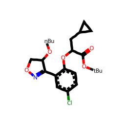 CCCCOC1CON=C1c1cc(Cl)ccc1OC(CC1CC1)C(=O)OC(C)(C)C